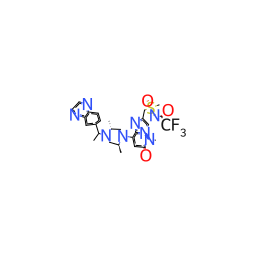 CC(c1ccc2nccnc2c1)N1C[C@H](C)N(c2cc(=O)n(C)n3cc(CS(C)(=O)=NC(=O)C(F)(F)F)nc23)C[C@H]1C